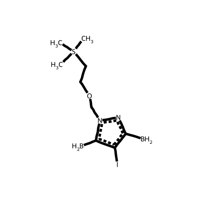 Bc1nn(COCCS(C)(C)C)c(B)c1I